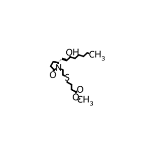 CCCCCC(O)C=C[C@H]1CCC(=O)N1CCSCCCC(=O)OC